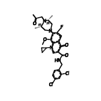 COc1c(N2C[C@@H](C)N(CC(C)=O)[C@@H](C)C2)c(F)cc2c(=O)c(C(=O)NCc3ccc(Cl)cc3Cl)cn(C3CC3)c12